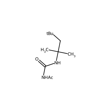 CC(=O)NC(=O)NC(C)(C)CC(C)(C)C